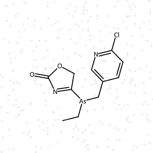 CC[As](Cc1ccc(Cl)nc1)C1=NC(=O)OC1